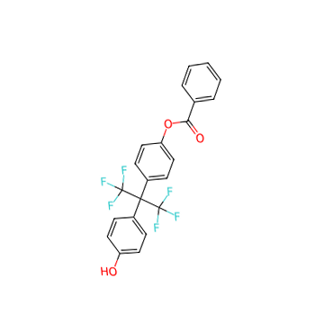 O=C(Oc1ccc(C(c2ccc(O)cc2)(C(F)(F)F)C(F)(F)F)cc1)c1ccccc1